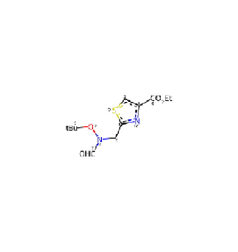 CCOC(=O)c1csc(CN(C=O)OC(C)(C)C)n1